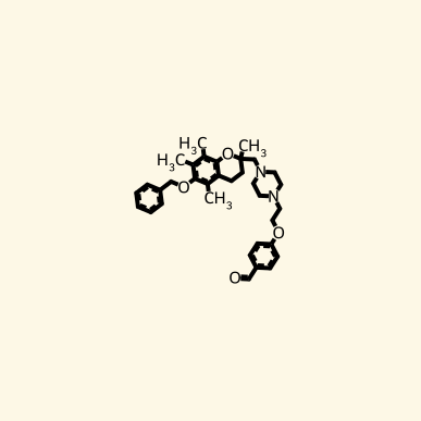 Cc1c(C)c2c(c(C)c1OCc1ccccc1)CCC(C)(CN1CCN(CCOc3ccc(C=O)cc3)CC1)O2